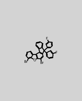 Fc1cccc(C2(c3cccc(F)c3)c3ccccc3-c3c2cc(Br)c2oc4c(Br)cccc4c32)c1